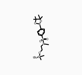 CN(CCO[Si](C)(C)C(C)(C)C)S(=O)(=O)c1ccc(B2OC(C)(C)C(C)(C)O2)cc1